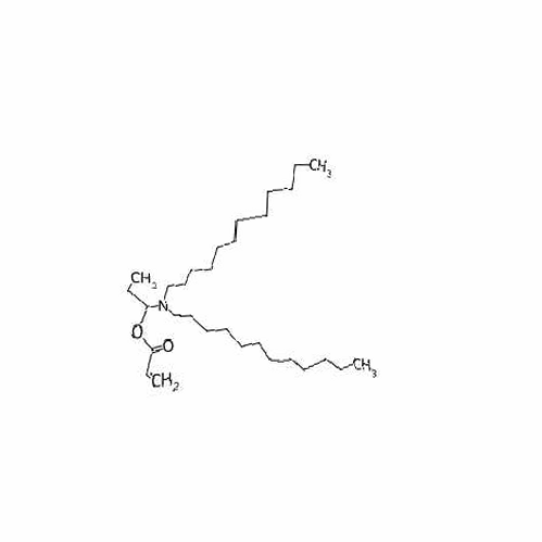 C=CC(=O)OC(CC)N(CCCCCCCCCCCC)CCCCCCCCCCCC